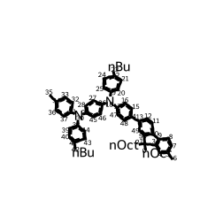 CCCCCCCCC1(CCCCCCCC)c2cc(C)ccc2-c2ccc(-c3ccc(N(c4ccc(CCCC)cc4)c4ccc(N(c5ccc(C)cc5)c5ccc(CCCC)cc5)cc4)cc3)cc21